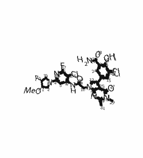 CO[C@H]1CN(c2cc(NC(=O)Cn3cc(-c4cc(Cl)c(O)c(C(N)=O)c4)c4c(=O)n(C)c(C)nc43)c(Cl)c(F)n2)C[C@H]1F